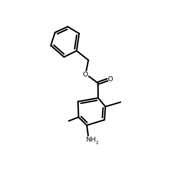 Cc1cc(C(=O)OCc2ccccc2)c(C)cc1N